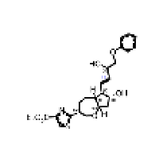 CCOC(=O)c1csc([C@H]2CC[C@@H]3[C@@H](/C=C/[C@@H](O)COc4ccccc4)[C@H](O)C[C@@H]3OC2)n1